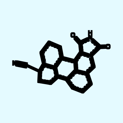 N#Cc1ccc2c3cccc4cc5c(=O)[nH]c(=O)c5c(c5cccc1c25)c43